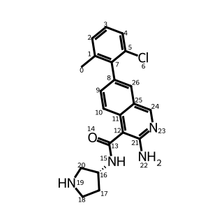 Cc1cccc(Cl)c1-c1ccc2c(C(=O)N[C@@H]3CCNC3)c(N)ncc2c1